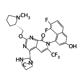 CN1CCC[C@H]1COc1nc(N2CC3CCC2CN3)c2cc(C(F)(F)F)n(-c3cc(O)cc4ccc(F)c(F)c34)c(=O)c2n1